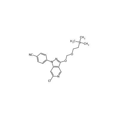 C[Si](C)(C)CCOCOc1nn(-c2ccc(C#N)cc2)c2cc(Cl)ncc12